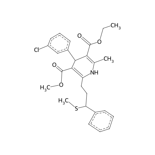 CCOC(=O)C1=C(C)NC(CCC(SC)c2ccccc2)=C(C(=O)OC)C1c1cccc(Cl)c1